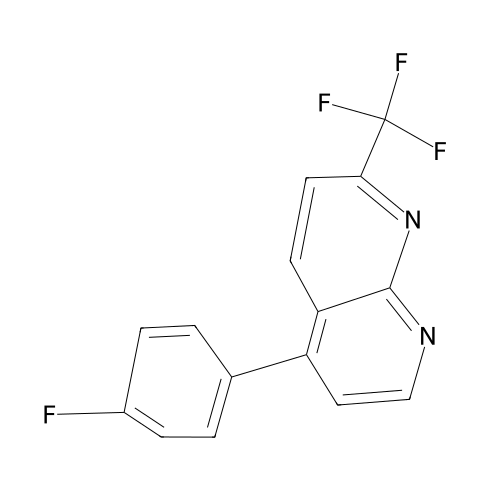 Fc1ccc(-c2ccnc3nc(C(F)(F)F)ccc23)cc1